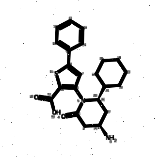 N[C@H]1CC(=O)N(c2cc(-c3ccccc3)sc2C(=O)O)[C@@H](C2CCCCC2)C1